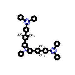 Cc1cc(-c2ccc3c(c2)c2cc(-c4cc(C)c(-c5ccc(-c6nc(-c7ccccc7)nc(-c7ccccc7)n6)cc5)c(C)c4)ccc2n3-c2ccccc2)cc(C)c1-c1ccc(-c2nc(-c3ccccc3)nc(-c3ccccc3)n2)cc1